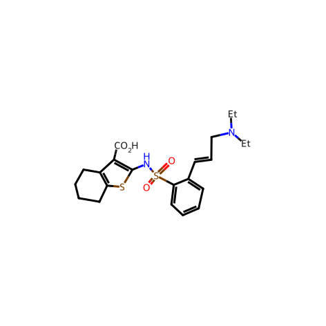 CCN(CC)CC=Cc1ccccc1S(=O)(=O)Nc1sc2c(c1C(=O)O)CCCC2